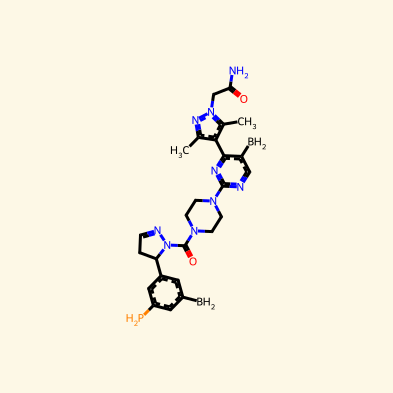 Bc1cc(P)cc(C2CC=NN2C(=O)N2CCN(c3ncc(B)c(-c4c(C)nn(CC(N)=O)c4C)n3)CC2)c1